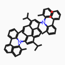 Cc1ccccc1N(c1c(C)cccc1-c1ccccc1)c1cc(C(C)C)c2ccc3c(N(c4ccccc4C)c4c(C)cccc4-c4ccccc4)cc(C(C)C)c4ccc1c2c43